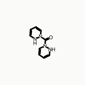 O=C(N1C=CC=CN1)N1C=CC=CN1